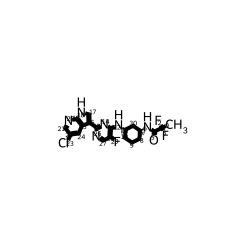 CC(F)(F)C(=O)N[C@@H]1CCC[C@H](Nc2nc(-c3c[nH]c4ncc(Cl)cc34)ncc2F)C1